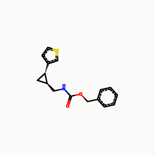 O=C(NC[C@H]1C[C@@H]1c1ccsc1)OCc1ccccc1